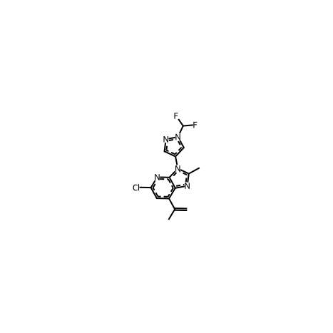 C=C(C)c1cc(Cl)nc2c1nc(C)n2-c1cnn(C(F)F)c1